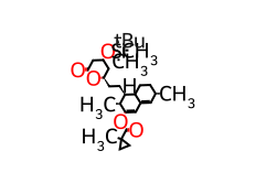 C[C@@H]1C(OC(=O)C2(C)CC2)=CC2=C[C@H](C)CC[C@@H]2[C@@H]1CC[C@@H]1C[C@@H](O[Si](C)(C)C(C)(C)C)CC(=O)O1